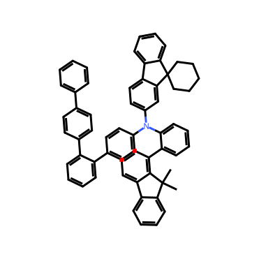 CC1(C)c2ccccc2-c2cccc(-c3ccccc3N(c3ccc(-c4ccccc4-c4ccc(-c5ccccc5)cc4)cc3)c3ccc4c(c3)C3(CCCCC3)c3ccccc3-4)c21